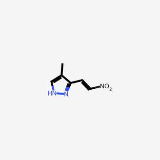 Cc1c[nH]nc1C=C[N+](=O)[O-]